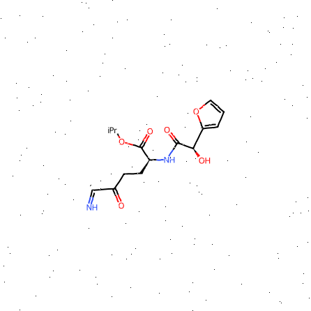 CC(C)OC(=O)[C@H](CCC(=O)C=N)NC(=O)[C@H](O)c1ccco1